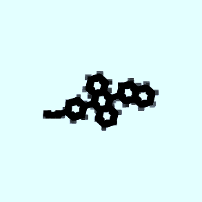 COc1ccc(-c2c3ccccc3c(-c3cc4ccccc4cn3)c3ccccc23)cc1